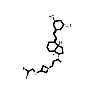 CC(CCN1CC(OCC(F)F)C1)[C@H]1CC[C@H]2/C(=C/C=C3C[C@@H](O)C[C@H](O)C3)CCC[C@]12C